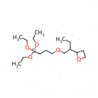 CCO[Si](CCCOCC(CC)C1CCO1)(OCC)OCC